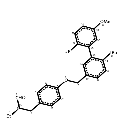 CC[C@@H](C=O)Cc1ccc(OCc2ccc(C(C)(C)C)c(-c3cc(OC)ccc3F)c2)cc1